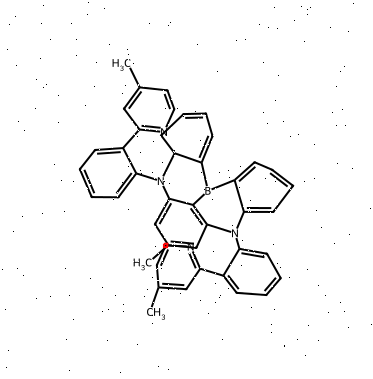 Cc1ccnc(-c2ccccc2N2c3ccccc3B3C4=CC=CCC4N(c4ccccc4-c4cc(C)ccn4)c4cc(C)cc2c43)c1